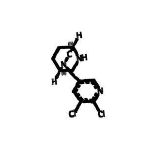 Clc1cc(N2C[C@@H]3CC[C@H]2CN3)cnc1Cl